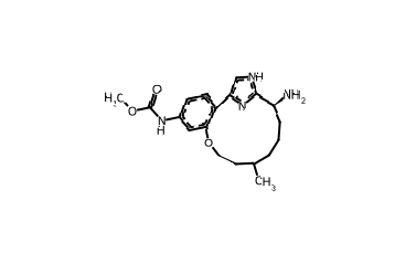 COC(=O)Nc1ccc2c(c1)OCCC(C)CCC[C@H](N)c1nc-2c[nH]1